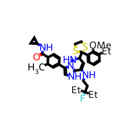 CCc1cccc(C2(C3C=C(NCCC(F)(CC)CC)C4NC=C(C5=CC(C)C(C(=O)NC6CC6)C=C5)N4N3)SCCS2)c1OC